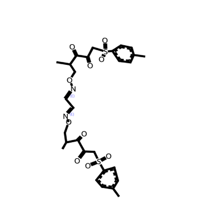 Cc1ccc(S(=O)(=O)CC(=O)C(=O)C(C)CO/N=C/C=N/OCC(C)C(=O)C(=O)CS(=O)(=O)c2ccc(C)cc2)cc1